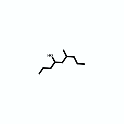 CCCC(C)CC(O)CCC